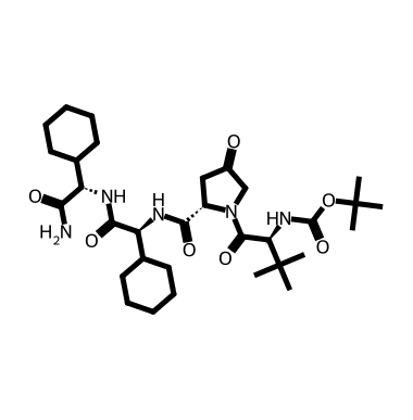 CC(C)(C)OC(=O)N[C@H](C(=O)N1CC(=O)C[C@H]1C(=O)N[C@H](C(=O)N[C@H](C(N)=O)C1CCCCC1)C1CCCCC1)C(C)(C)C